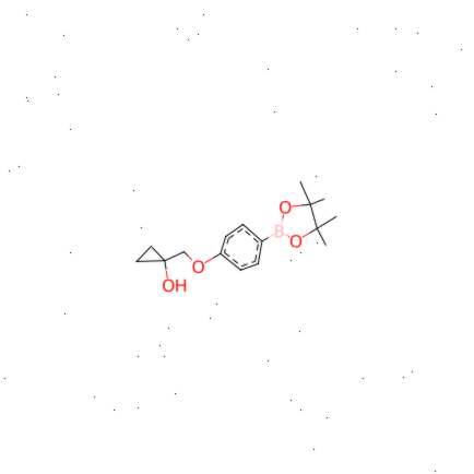 CC1(C)OB(c2ccc(OCC3(O)CC3)cc2)OC1(C)C